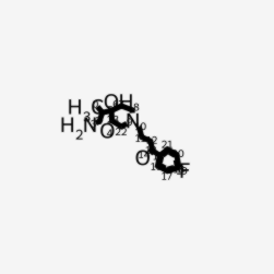 CC(C(N)=O)C1(O)CCN(CCCC(=O)c2ccc(F)cc2)CC1